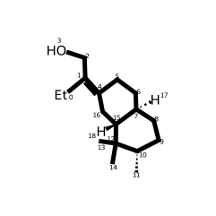 CC/C(CO)=C1/CC[C@H]2CC[C@H](C)C(C)(C)[C@@H]2C1